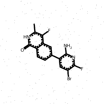 Cc1[nH]c(=O)c2ccc(-c3cc(Br)c(F)nc3N)cc2c1F